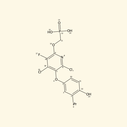 CC(C)c1cc(Oc2c(Cl)nc(OCP(=O)(O)O)c(F)c2Cl)ccc1O